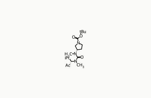 CC(=O)[C@H](C(C)C)N(C)C(=O)N(C)[C@H]1CCN(C(=O)OC(C)(C)C)C1